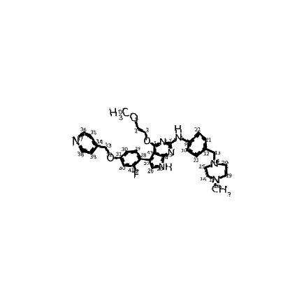 COCCOc1nc(Nc2ccc(CN3CCN(C)CC3)cc2)nc2[nH]cc(-c3ccc(OCc4ccncc4)cc3F)c12